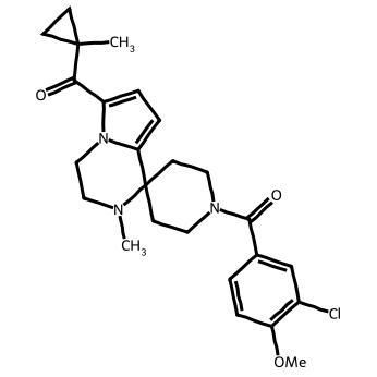 COc1ccc(C(=O)N2CCC3(CC2)c2ccc(C(=O)C4(C)CC4)n2CCN3C)cc1Cl